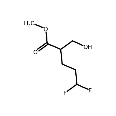 COC(=O)C(CO)CCC(F)F